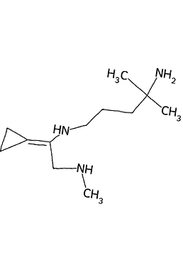 CNCC(NCCCC(C)(C)N)=C1CC1